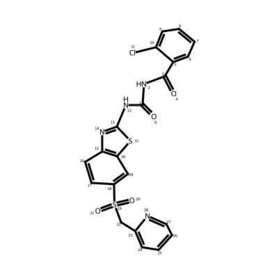 O=C(NC(=O)c1ccccc1Cl)Nc1nc2ccc(S(=O)(=O)Cc3ccccn3)cc2s1